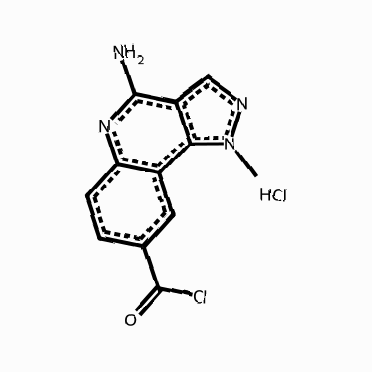 Cl.Cn1ncc2c(N)nc3ccc(C(=O)Cl)cc3c21